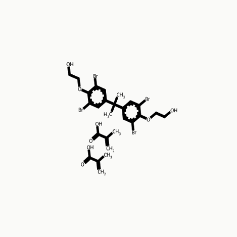 C=C(C)C(=O)O.C=C(C)C(=O)O.CC(C)(c1cc(Br)c(OCCO)c(Br)c1)c1cc(Br)c(OCCO)c(Br)c1